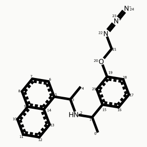 CC(NC(C)c1cccc2ccccc12)c1cccc(OCN=[N+]=[N-])c1